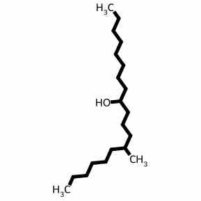 CCCCCCCCC(O)CCCC(C)CCCCCC